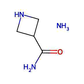 N.NC(=O)C1CNC1